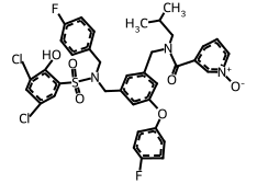 CC(C)CN(Cc1cc(CN(Cc2ccc(F)cc2)S(=O)(=O)c2cc(Cl)cc(Cl)c2O)cc(Oc2ccc(F)cc2)c1)C(=O)c1ccc[n+]([O-])c1